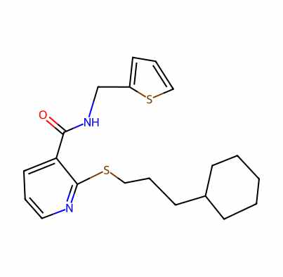 O=C(NCc1cccs1)c1cccnc1SCCCC1CCCCC1